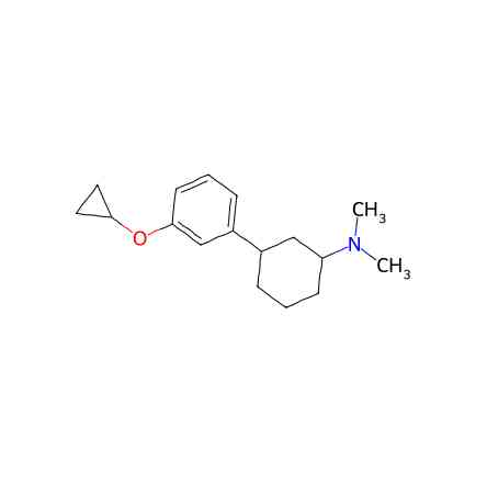 CN(C)C1CCCC(c2cccc(OC3CC3)c2)C1